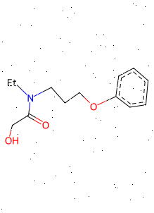 CCN(CCCOc1ccccc1)C(=O)CO